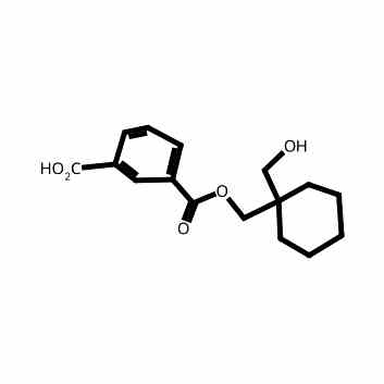 O=C(O)c1cccc(C(=O)OCC2(CO)CCCCC2)c1